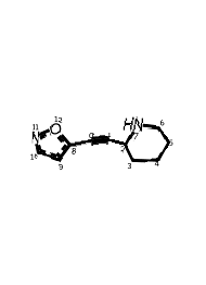 C(#CC1CCCCN1)c1ccno1